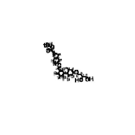 Cc1cc(OCC[C@H](O)CO)cc(C)c1-c1cc(COc2cc3c(cn2)C2C(C3)C2C(=O)OC(C)(C)C)c(F)cc1F